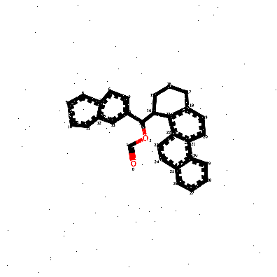 O=COC(c1ccc2ccccc2c1)C1CCCc2ccc3c(ccc4ccccc43)c21